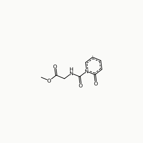 COC(=O)CNC(=O)n1c[c]ccc1=O